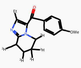 [2H]C1c2nc(CC)c(C(=O)c3ccc(OC)cc3)n2C([2H])C([2H])([2H])C1[2H]